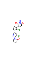 O=C1CCC(c2cccc(-c3cnc(-n4ccccc4=O)c(F)c3)c2Cl)C(=O)N1